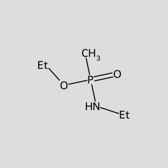 CCNP(C)(=O)OCC